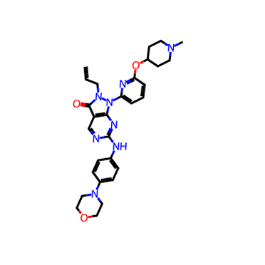 C=CCn1c(=O)c2cnc(Nc3ccc(N4CCOCC4)cc3)nc2n1-c1cccc(OC2CCN(C)CC2)n1